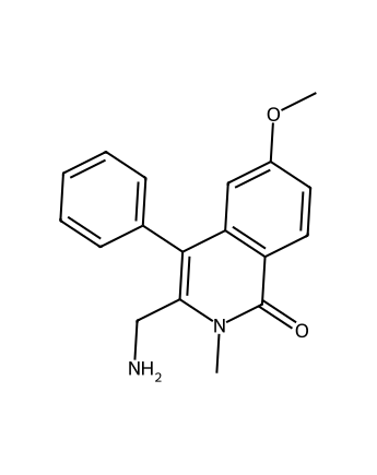 COc1ccc2c(=O)n(C)c(CN)c(-c3ccccc3)c2c1